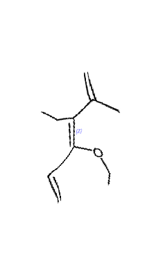 C=C/C(OC)=C(\C)C(=C)C